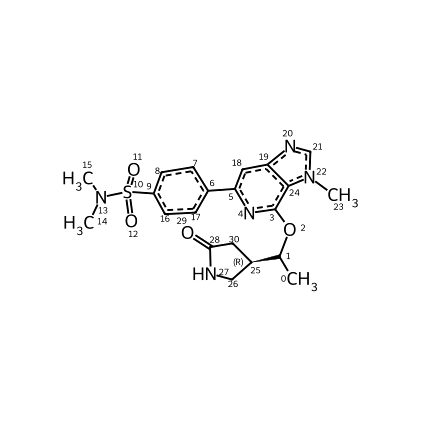 CC(Oc1nc(-c2ccc(S(=O)(=O)N(C)C)cc2)cc2ncn(C)c12)[C@H]1CNC(=O)C1